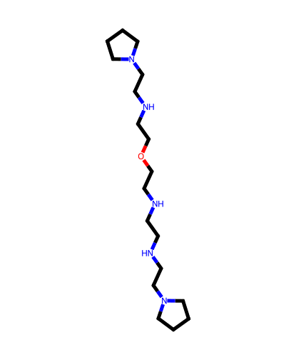 C1CCN(CCNCCNCCOCCNCCN2CCCC2)C1